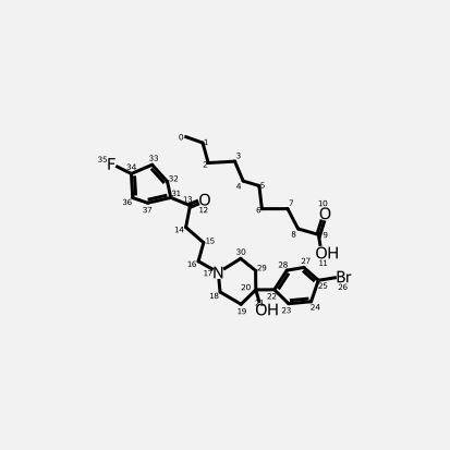 CCCCCCCCCC(=O)O.O=C(CCCN1CCC(O)(c2ccc(Br)cc2)CC1)c1ccc(F)cc1